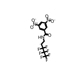 O=C(NC[CH]C(F)(F)C(F)(F)C(F)(F)F)c1cc([N+](=O)[O-])cc([N+](=O)[O-])c1